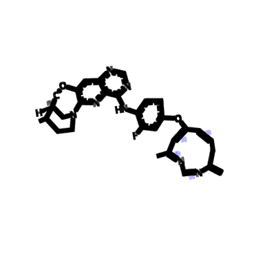 C=C1C\C=C/C(Oc2ccc(Nc3ncnc4cc5c(nc34)N3CCC(C)[C@H](CO5)C3)c(F)c2)=C\C(C)=N\C=N/1